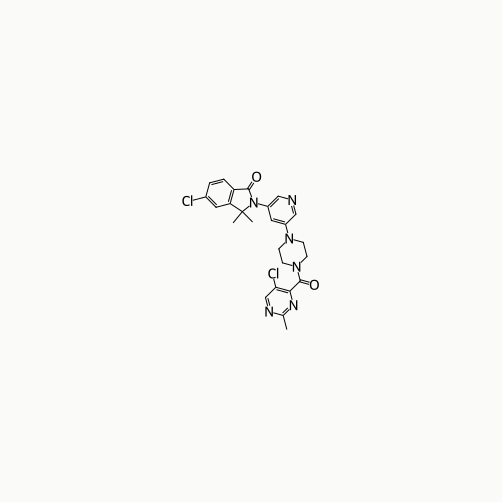 Cc1ncc(Cl)c(C(=O)N2CCN(c3cncc(N4C(=O)c5ccc(Cl)cc5C4(C)C)c3)CC2)n1